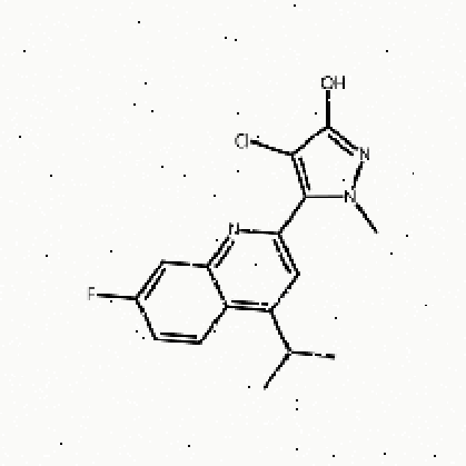 CC(C)c1cc(-c2c(Cl)c(O)nn2C)nc2cc(F)ccc12